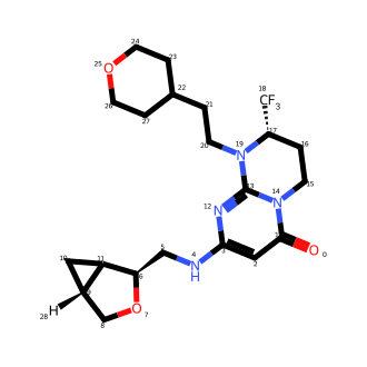 O=c1cc(NC[C@H]2OC[C@@H]3CC32)nc2n1CC[C@@H](C(F)(F)F)N2CCC1CCOCC1